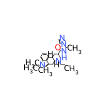 CCCN1CC(C(=O)NC(C)n2ccnc2)C[C@@H]2c3cccc4c3c(cn4C(C)(C)C)C[C@H]21